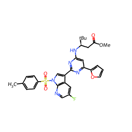 COC(=O)C[C@@H](Nc1cc(-c2ccco2)nc(-c2cn(S(=O)(=O)c3ccc(C)cc3)c3ncc(F)cc23)n1)C(C)(C)C